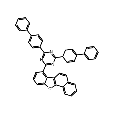 C1=CC(c2nc(-c3ccc(-c4ccccc4)cc3)nc(-c3cccc4oc5c6ccccc6ccc5c34)n2)CC=C1c1ccccc1